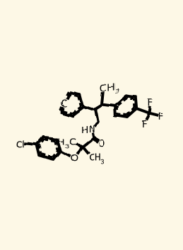 CC(c1ccc(C(F)(F)F)cc1)C(CNC(=O)C(C)(C)Oc1ccc(Cl)cc1)c1ccccc1